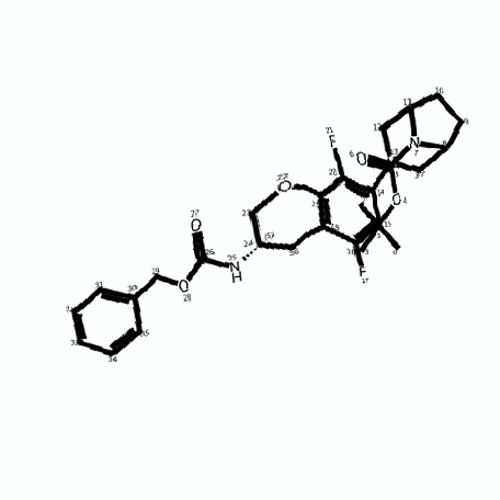 CC(C)(C)OC(=O)N1C2CCC1CN(c1cc(F)c3c(c1F)OC[C@@H](NC(=O)OCc1ccccc1)C3)C2